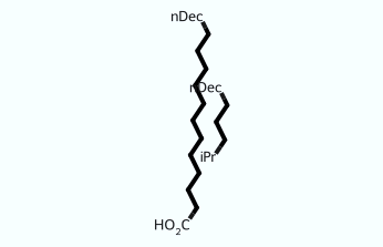 CCCCCCCCCCCCCC(C)C.CCCCCCCCCCCCCCCCCCCCCC(=O)O